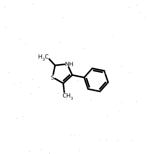 CC1=C(c2ccccc2)NC(C)S1